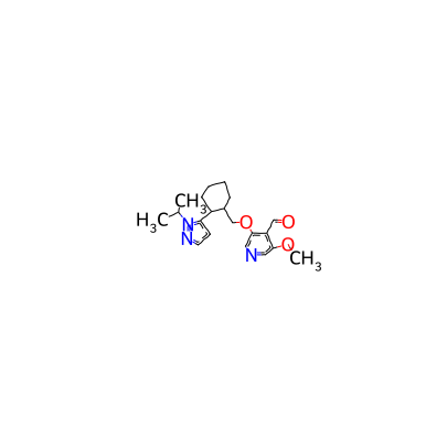 COc1cncc(OCC2CCCCC2c2ccnn2C(C)C)c1C=O